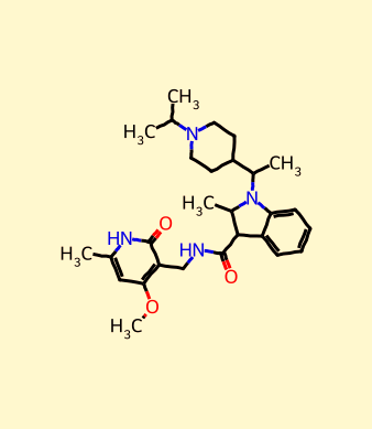 COc1cc(C)[nH]c(=O)c1CNC(=O)C1c2ccccc2N(C(C)C2CCN(C(C)C)CC2)C1C